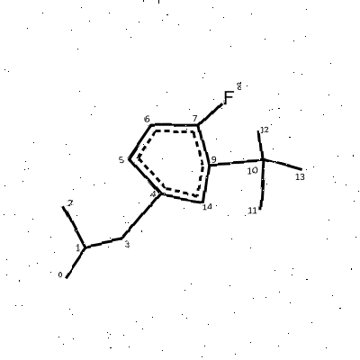 CC(C)Cc1ccc(F)c(C(C)(C)C)c1